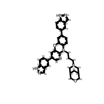 c1cc2c(cc1-c1ccc3[nH]ncc3c1)Oc1cc(-c3ccc4[nH]ncc4c3)cnc1N2CCCN1CC2COCC(C2)C1